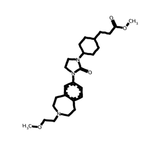 COCCN1CCc2ccc(N3CCN(C4CCC(CCC(=O)OC)CC4)C3=O)cc2CC1